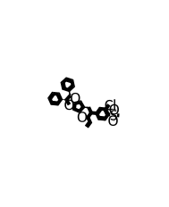 C=CC(=O)C(C[C@H]1CCC2(C1)O[C@H](c1ccccc1)[C@@H](c1ccccc1)O2)c1ccc(S(C)(=O)=O)c(Cl)c1